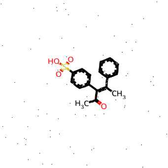 CC(=O)/C(=C(\C)c1ccccc1)c1ccc(S(=O)(=O)O)cc1